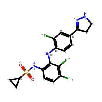 O=S(=O)(Nc1ccc(F)c(F)c1Nc1ccc(C2=NNCC2)cc1F)C1CC1